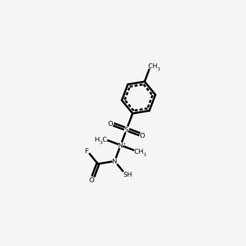 Cc1ccc(S(=O)(=O)[N+](C)(C)N(S)C(=O)F)cc1